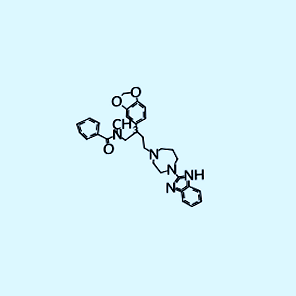 CN(CC(CCN1CCCN(c2nc3ccccc3[nH]2)CC1)c1ccc2c(c1)OCO2)C(=O)c1ccccc1